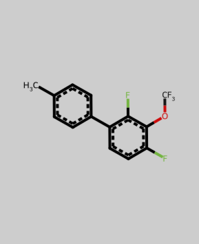 Cc1ccc(-c2ccc(F)c(OC(F)(F)F)c2F)cc1